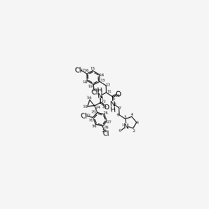 CN1CCCC1CCNC(=O)C(Cc1ccc(Cl)cc1Cl)NC(=O)C1(c2ccc(Cl)cc2Cl)CC1